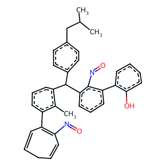 Cc1c(C2=C(N=O)C=CCC=C2)cccc1C(c1ccc(CC(C)C)cc1)c1cccc(-c2ccccc2O)c1N=O